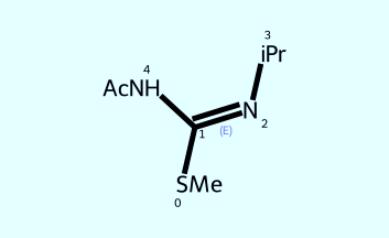 CS/C(=N/C(C)C)NC(C)=O